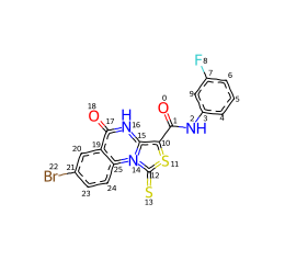 O=C(Nc1cccc(F)c1)c1sc(=S)n2c1[nH]c(=O)c1cc(Br)ccc12